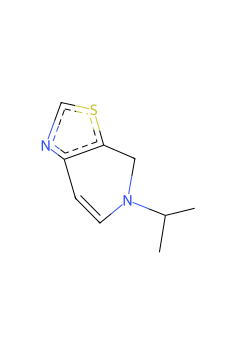 CC(C)N1C=Cc2ncsc2C1